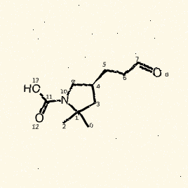 CC1(C)C[C@H](CCC=O)CN1C(=O)O